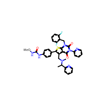 CONC(=O)Nc1ccc(-c2sc3c(c2CN(C)C(C)c2ccccn2)c(=O)n(-c2ccccn2)c(=O)n3Cc2c(F)cccc2F)cc1